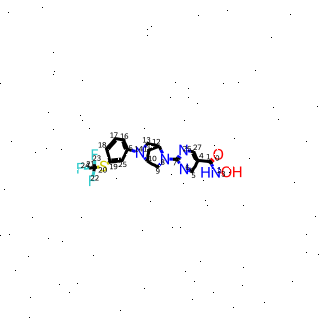 O=C(NO)c1cnc(N2CC3CC2CN3c2cccc(SC(F)(F)F)c2)nc1